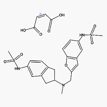 CN(Cc1cc2cc(NS(C)(=O)=O)ccc2o1)C1Cc2ccc(NS(C)(=O)=O)cc2C1.O=C(O)/C=C\C(=O)O